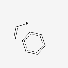 C=CF.c1ccccc1